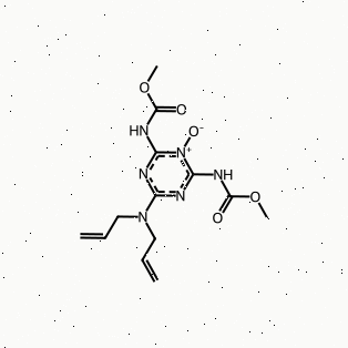 C=CCN(CC=C)c1nc(NC(=O)OC)[n+]([O-])c(NC(=O)OC)n1